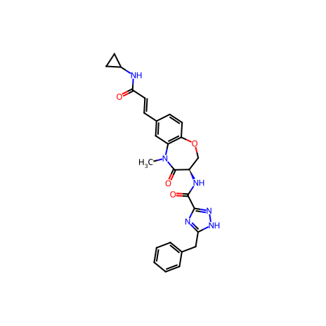 CN1C(=O)[C@H](NC(=O)c2n[nH]c(Cc3ccccc3)n2)COc2ccc(/C=C/C(=O)NC3CC3)cc21